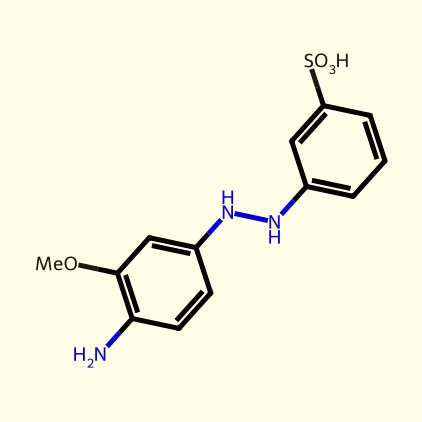 COc1cc(NNc2cccc(S(=O)(=O)O)c2)ccc1N